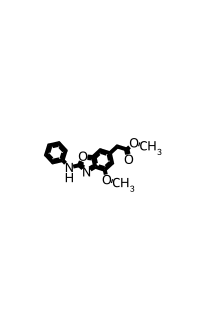 COC(=O)Cc1cc(OC)c2nc(Nc3ccccc3)oc2c1